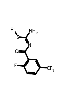 CCSC(N)=NC(=O)c1cc(C(F)(F)F)ccc1F